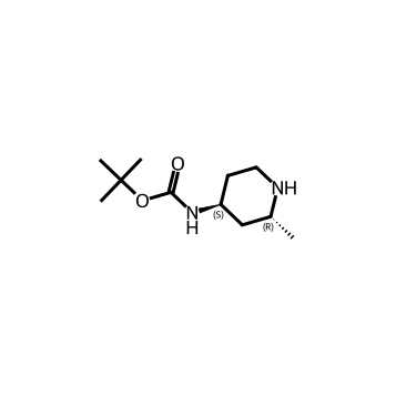 C[C@@H]1C[C@@H](NC(=O)OC(C)(C)C)CCN1